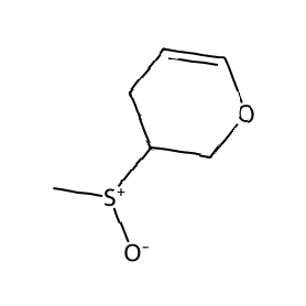 C[S+]([O-])C1CC=COC1